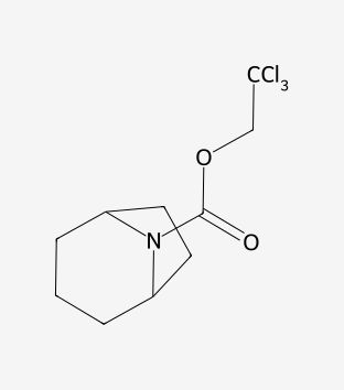 O=C(OCC(Cl)(Cl)Cl)N1C2CCCC1CC2